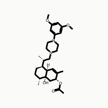 COc1cc(OC)cc(N2CCN(C[C@@H](C)[C@@H]3CC[C@@H](C)[C@]4(O)[C][C@@H](OC(C)=O)C(C)=C[C@H]34)CC2)c1